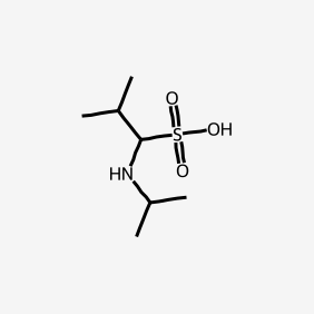 CC(C)NC(C(C)C)S(=O)(=O)O